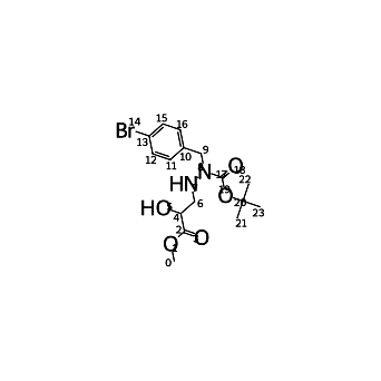 COC(=O)C(O)CNN(Cc1ccc(Br)cc1)C(=O)OC(C)(C)C